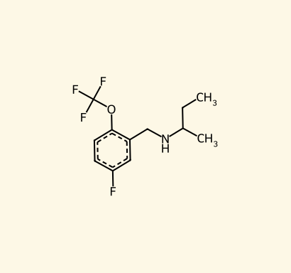 CCC(C)NCc1cc(F)ccc1OC(F)(F)F